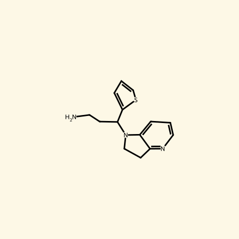 NCCC(c1cccs1)N1CCc2ncccc21